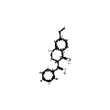 CCc1ccc2c(c1)SCC(C(=O)c1ccccc1)C2=O